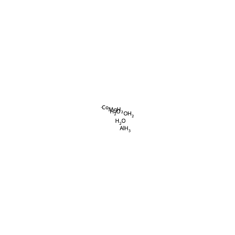 O.O.O.[AlH3].[Co].[MgH2]